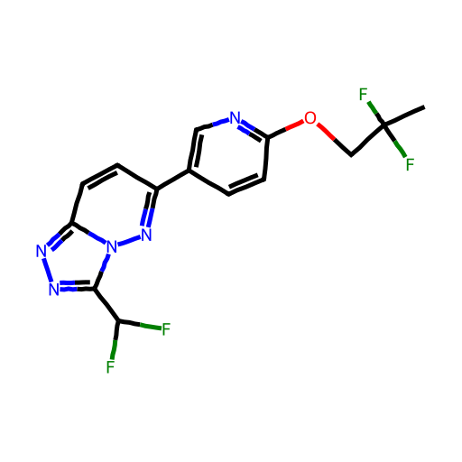 CC(F)(F)COc1ccc(-c2ccc3nnc(C(F)F)n3n2)cn1